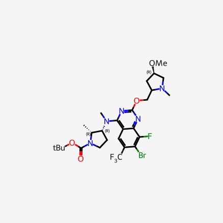 CO[C@@H]1CC(COc2nc(N(C)[C@@H]3CCN(C(=O)OC(C)(C)C)[C@@H]3C)c3cc(C(F)(F)F)c(Br)c(F)c3n2)N(C)C1